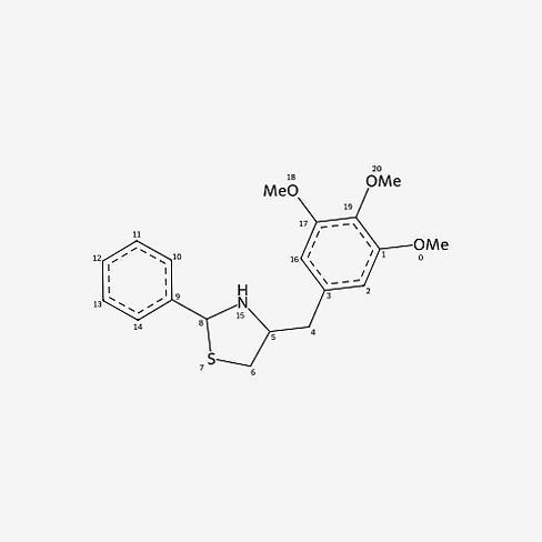 COc1cc(CC2CSC(c3ccccc3)N2)cc(OC)c1OC